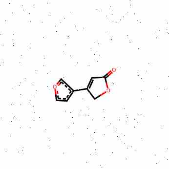 O=C1C=C(c2ccoc2)CO1